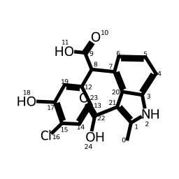 Cc1[nH]c2cccc(C(C(=O)O)c3ccc(Cl)c(O)c3)c2c1C(=O)O